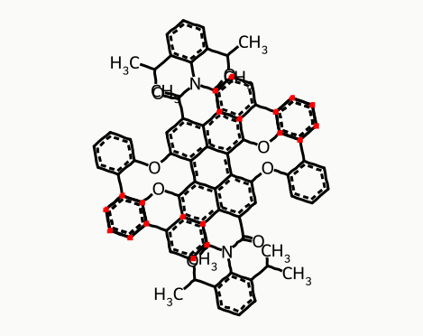 CC(C)c1cccc(C(C)C)c1N1C(=O)c2cc(Oc3ccccc3-c3ccccc3)c3c4c(Oc5ccccc5-c5ccccc5)cc5c6c(cc(Oc7ccccc7-c7ccccc7)c(c7c(Oc8ccccc8-c8ccccc8)cc(c2c37)C1=O)c64)C(=O)N(c1c(C(C)C)cccc1C(C)C)C5=O